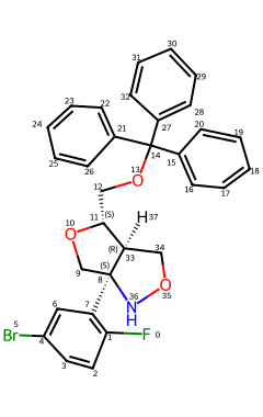 Fc1ccc(Br)cc1[C@]12CO[C@H](COC(c3ccccc3)(c3ccccc3)c3ccccc3)[C@H]1CON2